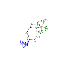 N[C@H]1CC[C@@H](S(F)(F)(F)(F)F)CC1